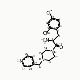 NC(Cc1ccc(Cl)cc1Cl)C(=O)N1CCN(Cc2ccncc2)CC1